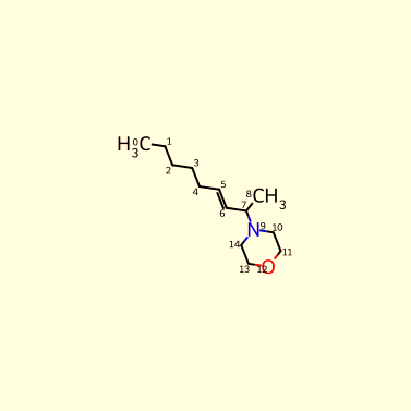 CCCCC/C=C/C(C)N1CCOCC1